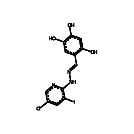 Oc1cc(O)c(/C=N/Nc2ncc(Cl)cc2I)cc1O